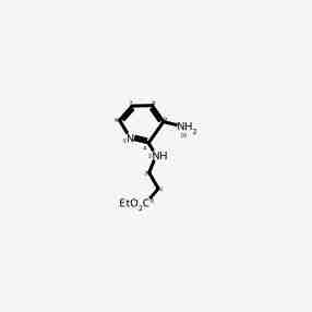 CCOC(=O)CCNc1ncccc1N